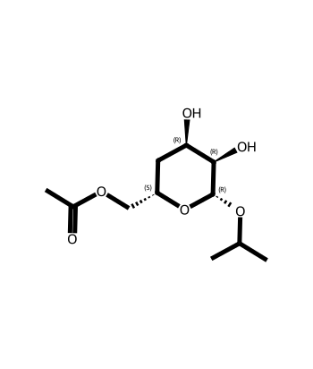 CC(=O)OC[C@@H]1C[C@@H](O)[C@@H](O)[C@H](OC(C)C)O1